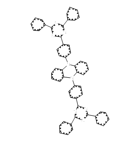 c1ccc(-c2nc(-c3ccccc3)nc(-c3ccc(N4c5ccccc5N(c5ccc(-c6nc(-c7ccccc7)nc(-c7ccccc7)n6)cc5)c5ccccc54)cc3)n2)cc1